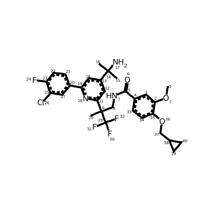 COc1cc(C(=O)NCC(C)(c2cc(C(C)(C)N)cc(-c3ccc(F)c(Cl)c3)n2)C(F)(F)F)ccc1OCC1CC1